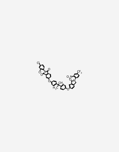 CC(C)(c1ccc(Oc2ccc3c(c2)C(=O)N(c2ccc(C(F)(F)F)cc2[N+](=O)[O-])C3)cc1)c1ccc(Oc2ccc3c(c2)C(=O)N(c2ccc(Cl)cc2Cl)C3=O)cc1